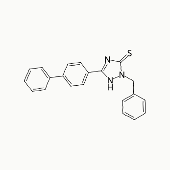 S=c1nc(-c2ccc(-c3ccccc3)cc2)[nH]n1Cc1ccccc1